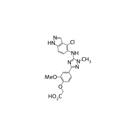 COc1cc(-c2nc(Nc3ccc4[nH]ncc4c3Cl)n(C)n2)ccc1OCC(=O)O